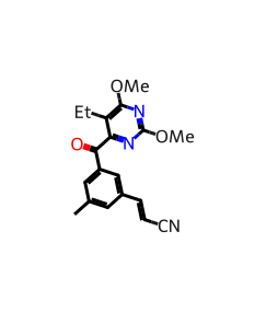 CCc1c(OC)nc(OC)nc1C(=O)c1cc(C)cc(/C=C/C#N)c1